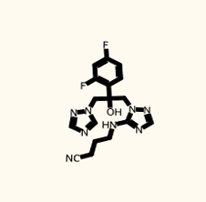 N#CCCCNc1ncnn1CC(O)(Cn1cncn1)c1ccc(F)cc1F